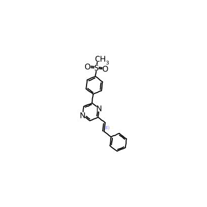 CS(=O)(=O)c1ccc(-c2cncc(/C=C/c3ccccc3)n2)cc1